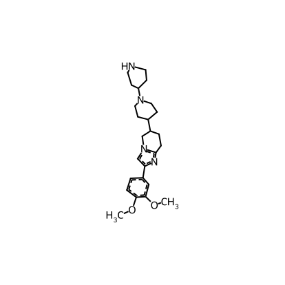 COc1ccc(-c2cn3c(n2)CCC(C2CCN(C4CCNCC4)CC2)C3)cc1OC